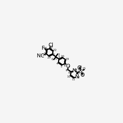 CC(C)(c1ccc(OCc2ccnc(S(C)(=O)=O)n2)cc1)c1cc(Cl)c(F)c(C#N)c1